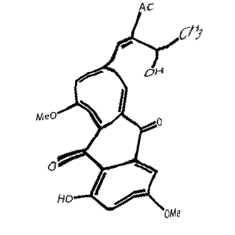 COc1cc(O)c2c(c1)C(=O)c1cc(C=C(C(C)=O)C(C)O)cc(OC)c1C2=O